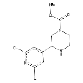 CC(C)(C)OC(=O)N1CCNC(c2cc(Cl)nc(Cl)c2)C1